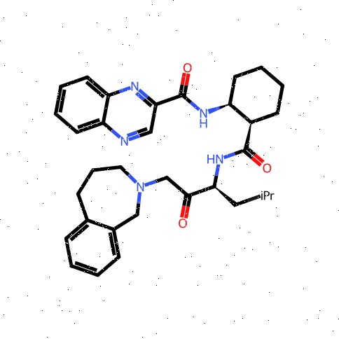 CC(C)C[C@H](NC(=O)[C@@H]1CCCC[C@@H]1NC(=O)c1cnc2ccccc2n1)C(=O)CN1CCCc2ccccc2C1